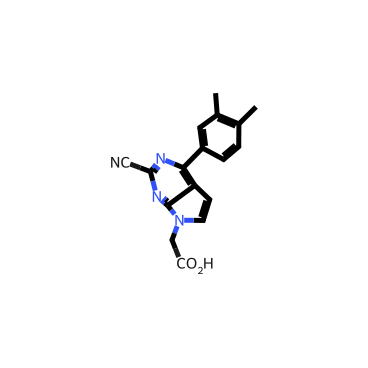 Cc1ccc(-c2nc(C#N)nc3c2ccn3CC(=O)O)cc1C